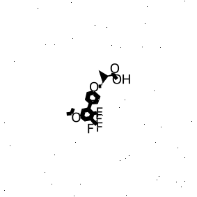 CC(C)Oc1cc(-c2ccc(OC[C@@H]3C[C@H]3C(=O)O)cc2)c(F)c(C(F)(F)F)c1